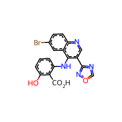 O=C(O)c1c(O)cccc1Nc1c(-c2ncon2)cnc2ccc(Br)cc12